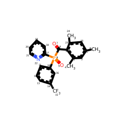 Cc1cc(C)c(C(=O)P(=O)(c2cccc(C(F)(F)F)c2)c2ccccn2)c(C)c1